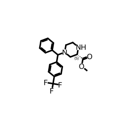 COC(=O)[C@@H]1CN(C(c2ccccc2)c2ccc(C(F)(F)F)cc2)CCN1